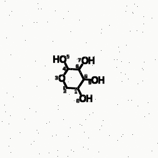 OC1[C]OC(O)C(O)C1O